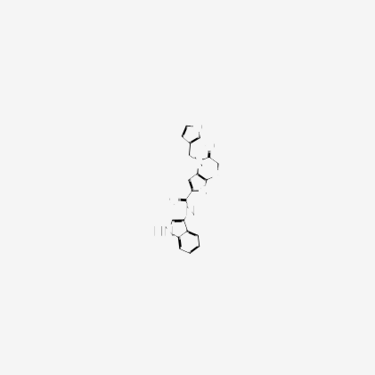 O=C(Nc1c[nH]c2ccccc12)c1cc2c(s1)SCC(=O)N2Cc1ccoc1